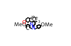 COc1ccc(CN(Cc2ccc(OC)cc2)c2cc(C)c(C(F)(F)F)c(C3CC(=O)CCC3C(C)C)n2)cc1